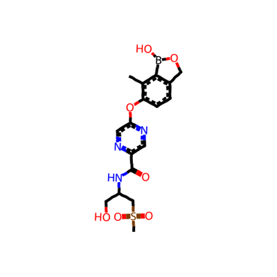 Cc1c(Oc2cnc(C(=O)NC(CO)CS(C)(=O)=O)cn2)ccc2c1B(O)OC2